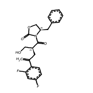 C=C(C[C@@H](CO)C(=O)N1C(=O)OC[C@H]1Cc1ccccc1)c1ccc(F)cc1F